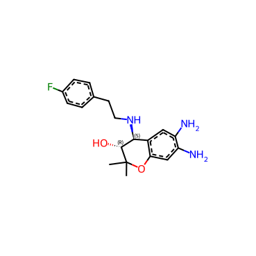 CC1(C)Oc2cc(N)c(N)cc2[C@H](NCCc2ccc(F)cc2)[C@H]1O